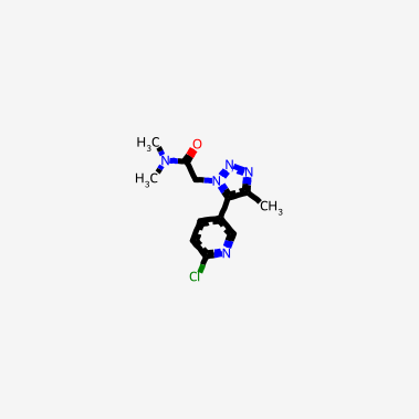 Cc1nnn(CC(=O)N(C)C)c1-c1ccc(Cl)nc1